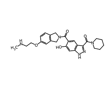 CNCCOc1ccc2c(c1)CN(C(=O)c1cc3c(C(=O)N4CCCCC4)n[nH]c3cc1O)C2